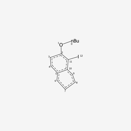 CCCCOc1ccc2ccccc2c1I